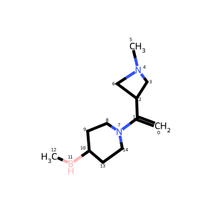 C=C(C1CN(C)C1)N1CCC(BC)CC1